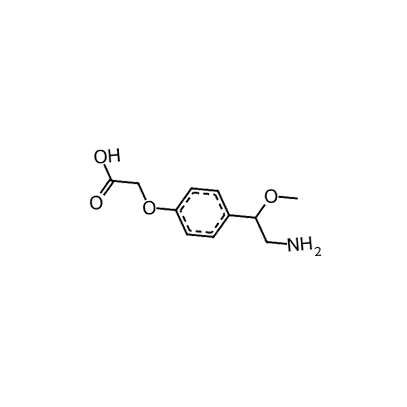 COC(CN)c1ccc(OCC(=O)O)cc1